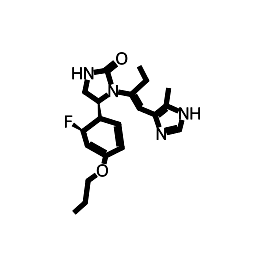 CCCOC1=C[C@@H](F)C([C@H]2CNC(=O)N2/C(=C/c2nc[nH]c2C)CC)C=C1